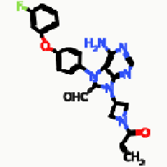 C=CC(=O)N1CC(N2c3ncnc(N)c3N(c3ccc(Oc4cccc(F)c4)cc3)C2C=O)C1